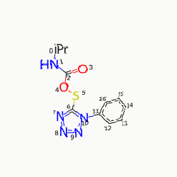 CC(C)NC(=O)OSc1nnnn1-c1ccccc1